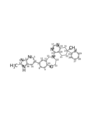 Cc1nc2ncc(-c3ccc4c(c3)CN(c3ncnc5c3CCC(C)(c3ccccc3)C5)CCO4)cc2[nH]1